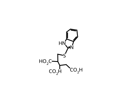 O=C(O)CC(C(=O)O)C(CSc1nc2ccccc2[nH]1)C(=O)O